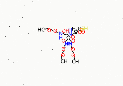 C#CCOCCOCCNC(=O)CCC(CCC(=O)NCCOCCOCC#C)(CCC(O)NCCOCCOCC#C)NC(=O)C1CC2(OP(C)(=O)S)CC1C2